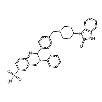 NS(=O)(=O)c1ccc2c(c1)=CN(c1ccccc1)C(c1ccc(CN3CCC(n4c(=O)[nH]c5ccccc54)CC3)cc1)N=2